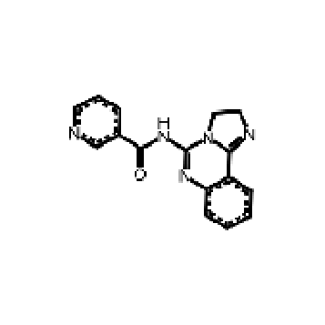 O=C(NC1=Nc2ccccc2C2=NCCN12)c1cccnc1